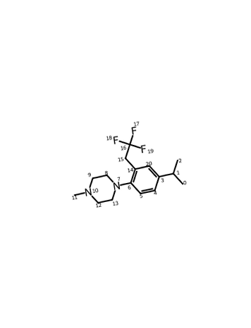 CC(C)c1ccc(N2CCN(C)CC2)c(CC(F)(F)F)c1